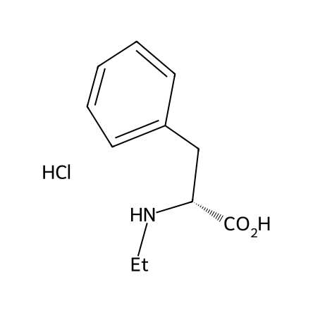 CCN[C@H](Cc1ccccc1)C(=O)O.Cl